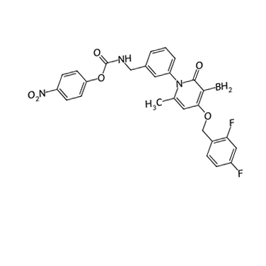 Bc1c(OCc2ccc(F)cc2F)cc(C)n(-c2cccc(CNC(=O)Oc3ccc([N+](=O)[O-])cc3)c2)c1=O